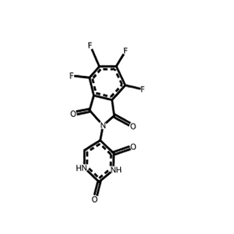 O=C1c2c(F)c(F)c(F)c(F)c2C(=O)N1c1c[nH]c(=O)[nH]c1=O